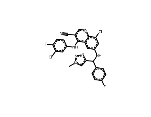 Cn1cc(C(Nc2cc(Cl)c3ncc(C#N)c(Nc4ccc(F)c(Cl)c4)c3c2)c2ccc(F)cc2)nn1